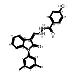 Cc1cc(C)cc(N2C(=O)/C(=C\NNC(=O)c3ccc(O)cc3)c3ccccc32)c1